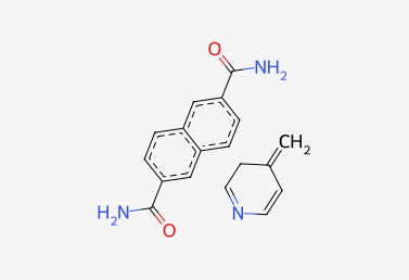 C=C1C=CN=CC1.NC(=O)c1ccc2cc(C(N)=O)ccc2c1